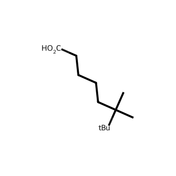 CC(C)(C)C(C)(C)CCCCC(=O)O